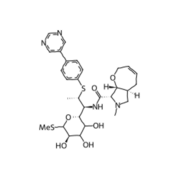 CSC1O[C@H]([C@H](NC(=O)[C@@H]2[C@@H]3OCC=CC[C@H]3CN2C)[C@H](C)Sc2ccc(-c3cncnc3)cc2)C(O)C(O)[C@H]1O